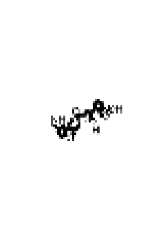 NCc1ccc2c(c1)C1(CCN(C(=O)c3cc(-c4cccc5c4COB5O)c(S)s3)CC1)CO2